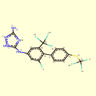 Nc1n[nH]c(Nc2cc(F)c(-c3ccc(SC(F)(F)F)cc3)c(C(F)(F)F)c2)n1